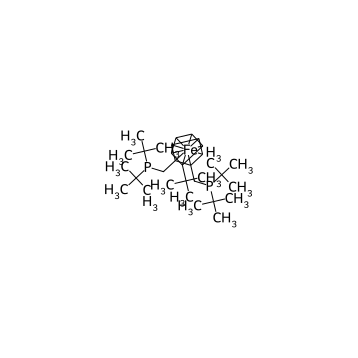 CC(C)(C)P(C[C]12[CH]3[CH]4[CH]5[C]1(CP(C(C)(C)C)C(C)(C)C)[Fe]43521678[CH]2[CH]1[CH]6[C]7(C(C)(C)C)[CH]28)C(C)(C)C